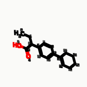 CCC(C(=O)O)c1ccc(C2=CCCCC2)cc1